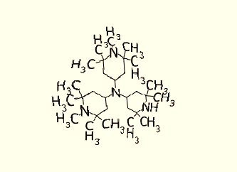 CN1C(C)(C)CC(N(C2CC(C)(C)NC(C)(C)C2)C2CC(C)(C)N(C)C(C)(C)C2)CC1(C)C